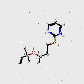 C=C[Si](C)(C)O[SiH](C)CCSc1ncccn1